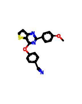 COc1ccc(-c2nc(Oc3ccc(C#N)cc3)c3sccc3n2)cc1